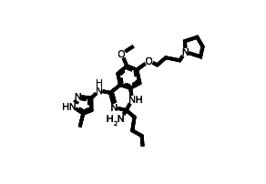 CCCCC1(N)N=C(Nc2cc(C)[nH]n2)c2cc(OC)c(OCCCN3CCCC3)cc2N1